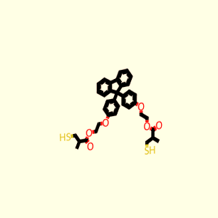 CC(CS)C(=O)OCCOc1ccc(C2(c3ccc(OCCOC(=O)C(C)CS)cc3)c3ccccc3-c3ccccc32)cc1